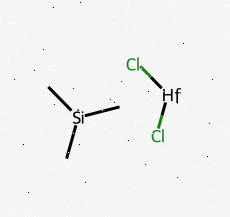 C[Si](C)C.[Cl][Hf][Cl]